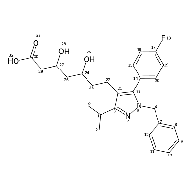 CC(C)c1nn(Cc2ccccc2)c(-c2ccc(F)cc2)c1CCC(O)CC(O)CC(=O)O